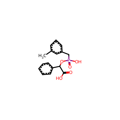 Cc1cccc(CP(=O)(O)OC(C(=O)O)c2ccccc2)c1